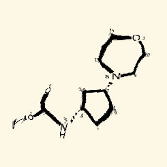 O=C(O)N[C@H]1CC[C@@H](N2CCOCC2)C1